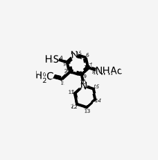 C=Cc1c(S)ncc(NC(C)=O)c1N1CCCCC1